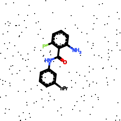 CCCc1cccc(NC(=O)c2c(N)cccc2F)c1